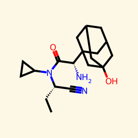 CC[C@@H](C#N)N(C(=O)[C@@H](N)C12CC3CC(CC(O)(C3)C1)C2)C1CC1